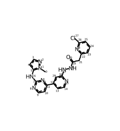 Cn1nccc1Nc1nccc(-c2ccnc(NNC(=O)Cc3cccc(Cl)n3)c2)n1